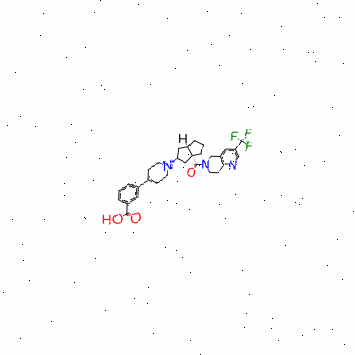 O=C(O)c1cccc(C2CCN([C@H]3C[C@H]4CCC[C@@]4(C(=O)N4CCc5ncc(C(F)(F)F)cc5C4)C3)CC2)c1